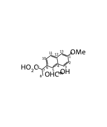 COc1ccc2cc(C(C)C(=O)O)ccc2c1.O=CO